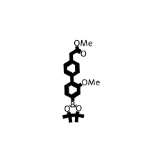 COC(=O)Cc1ccc(-c2ccc(B3OC(C)(C)C(C)(C)O3)cc2OC)cc1